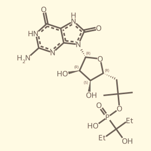 CCC(O)(CC)P(=O)(O)OC(C)(C)C[C@H]1O[C@@H](n2c(=O)[nH]c3c(=O)[nH]c(N)nc32)[C@H](O)[C@@H]1O